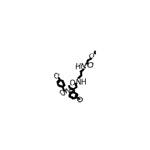 CCOCCC(=O)NCCCCNC(=O)Cc1c(C)n(C(=O)c2ccc(Cl)cc2)c2ccc(OC)cc12